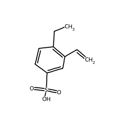 C=Cc1cc(S(=O)(=O)O)ccc1CC